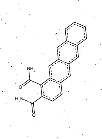 NC(=O)c1ccc2cc3cc4ccccc4cc3cc2c1C(N)=O